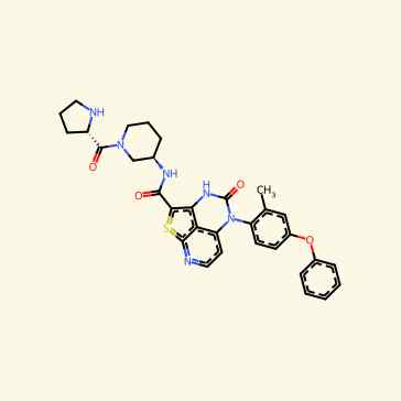 Cc1cc(Oc2ccccc2)ccc1N1C(=O)Nc2c(C(=O)N[C@@H]3CCCN(C(=O)[C@@H]4CCCN4)C3)sc3nccc1c23